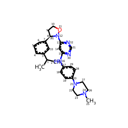 CC(C)c1cccc([C@H]2CCON2c2cc(Nc3ccc(N4CCN(C)CC4)cc3)ncn2)c1